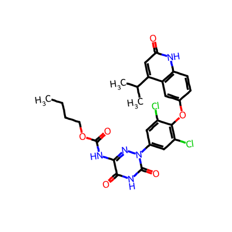 CCCCOC(=O)Nc1nn(-c2cc(Cl)c(Oc3ccc4[nH]c(=O)cc(C(C)C)c4c3)c(Cl)c2)c(=O)[nH]c1=O